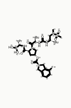 CCC[C@H](NC(=O)[C@@H]1C[C@@H](OC(=O)N2Cc3cccc(F)c3C2)CN1C(=O)[C@@H](NC(=O)N[C@H](CN(C)S(C)(=O)=O)C(C)(C)C)[C@H](C)CC)B(O)O